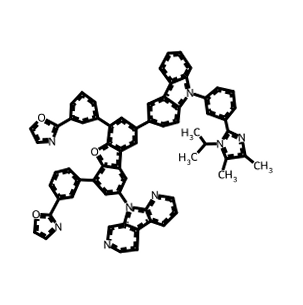 Cc1nc(-c2cccc(-n3c4ccccc4c4cc(-c5cc(-c6cccc(-c7ncco7)c6)c6oc7c(-c8cccc(-c9ncco9)c8)cc(-n8c9cnccc9c9cccnc98)cc7c6c5)ccc43)c2)n(C(C)C)c1C